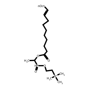 CCCCCCCCC=CCCCCCCCC(=O)OC(C)[PH](=O)OCC[N+](C)(C)C